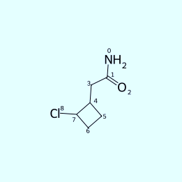 NC(=O)CC1CCC1Cl